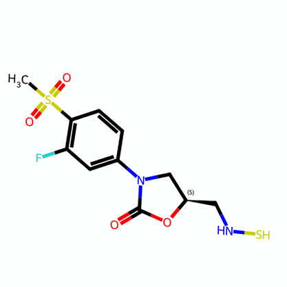 CS(=O)(=O)c1ccc(N2C[C@@H](CNS)OC2=O)cc1F